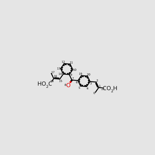 C/C(=C\c1ccc(C(=O)c2ccccc2/C=C(\C)C(=O)O)cc1)C(=O)O